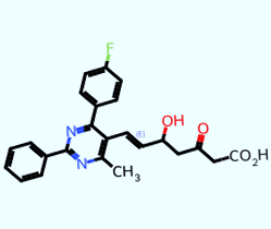 Cc1nc(-c2ccccc2)nc(-c2ccc(F)cc2)c1/C=C/C(O)CC(=O)CC(=O)O